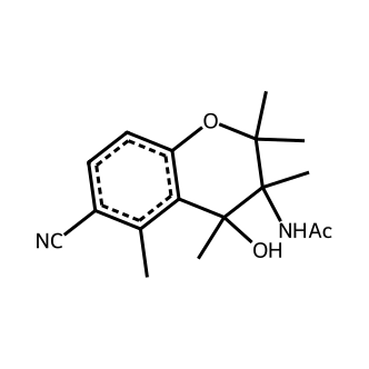 CC(=O)NC1(C)C(C)(C)Oc2ccc(C#N)c(C)c2C1(C)O